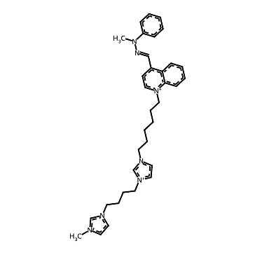 CN(/N=C/c1cc[n+](CCCCCCn2cc[n+](CCCCn3cc[n+](C)c3)c2)c2ccccc12)c1ccccc1